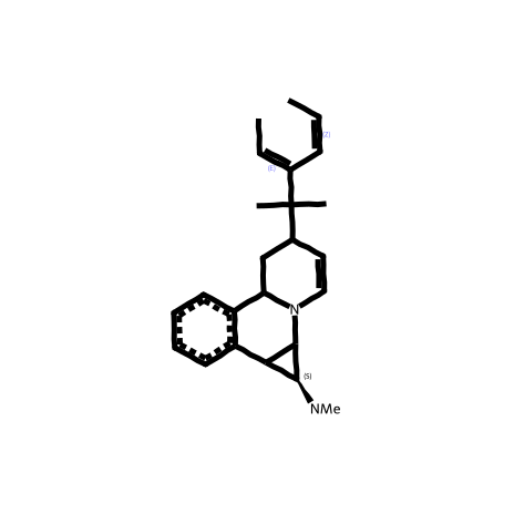 C/C=C\C(=C/C)C(C)(C)C1C=CN2C(C1)c1ccccc1C1C2[C@H]1NC